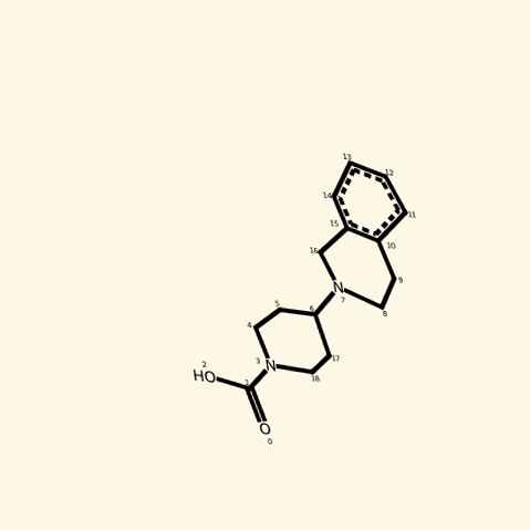 O=C(O)N1CCC(N2CCc3ccccc3C2)CC1